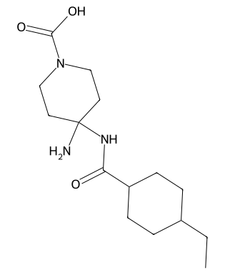 CCC1CCC(C(=O)NC2(N)CCN(C(=O)O)CC2)CC1